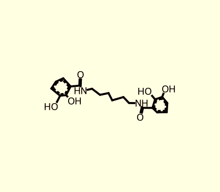 O=C(NCCCCCCNC(=O)c1cccc(O)c1O)c1cccc(O)c1O